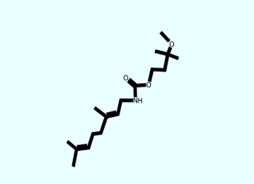 COC(C)(C)CCOC(=O)NC/C=C(\C)CCC=C(C)C